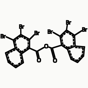 O=C(OC(=O)c1c(Br)c(Br)c(Br)c2ccccc12)c1c(Br)c(Br)c(Br)c2ccccc12